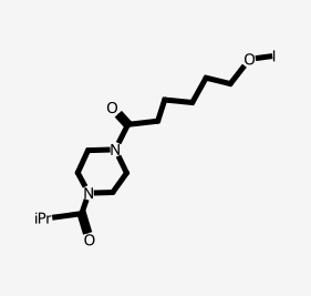 CC(C)C(=O)N1CCN(C(=O)CCCCCOI)CC1